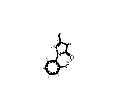 CC1=NN(c2ccccc2Cl)C(=O)[CH]1